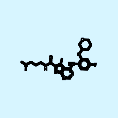 Cc1c(C(=O)NCCCN(C)C)sc2ncnc(Nc3ccc(F)cc3OC3CCCOC3)c12